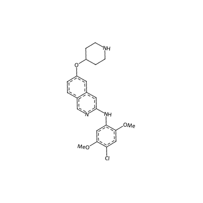 COc1cc(Nc2cc3cc(OC4CCNCC4)ccc3cn2)c(OC)cc1Cl